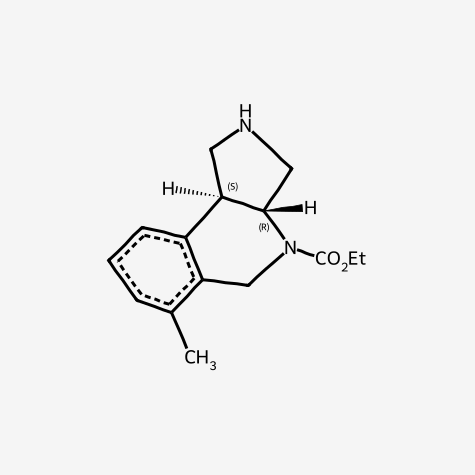 CCOC(=O)N1Cc2c(C)cccc2[C@H]2CNC[C@@H]21